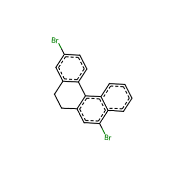 Brc1ccc2c(c1)CCc1cc(Br)c3ccccc3c1-2